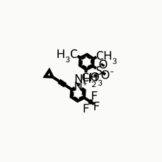 Cc1cc(C)c(S(=O)(=O)[O-])c(C)c1.N[n+]1cc(C(F)(F)F)ccc1C#CC1CC1